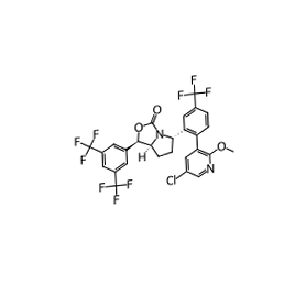 COc1ncc(Cl)cc1-c1ccc(C(F)(F)F)cc1[C@@H]1CC[C@H]2[C@@H](c3cc(C(F)(F)F)cc(C(F)(F)F)c3)OC(=O)N12